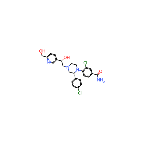 NC(=O)c1ccc(N2CCN(C[C@@H](O)c3ccc(CO)nc3)C[C@H]2c2ccc(Cl)cc2)c(Cl)c1